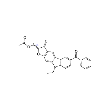 CCn1c2ccc(C(=O)c3ccccc3)cc2c2cc3c(cc21)O/C(=N\OC(C)=O)C3=O